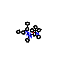 c1ccc(-c2ccc3c(c2)c2cc(-c4ccccc4)ccc2n3-c2nc(-c3ccccc3)nc(-c3cc4c5c(c3)c3ccccc3n5-c3ccccc3C4(c3ccccc3)c3ccccc3)n2)cc1